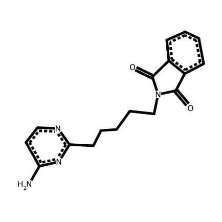 Nc1ccnc(CCCCCN2C(=O)c3ccccc3C2=O)n1